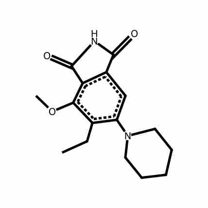 CCc1c(N2CCCCC2)cc2c(c1OC)C(=O)NC2=O